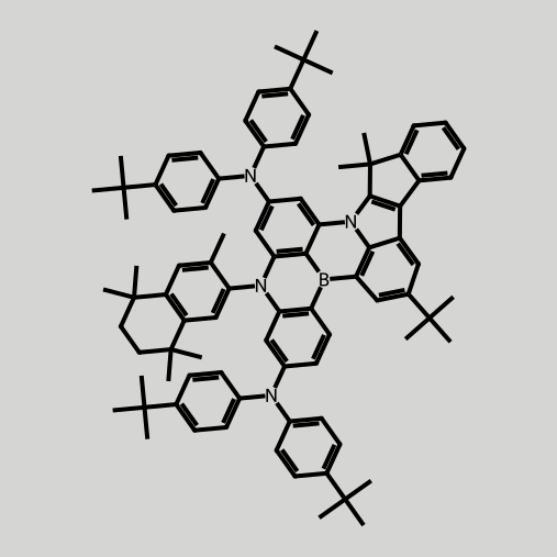 Cc1cc2c(cc1N1c3cc(N(c4ccc(C(C)(C)C)cc4)c4ccc(C(C)(C)C)cc4)ccc3B3c4c1cc(N(c1ccc(C(C)(C)C)cc1)c1ccc(C(C)(C)C)cc1)cc4-n1c4c(c5cc(C(C)(C)C)cc3c51)-c1ccccc1C4(C)C)C(C)(C)CCC2(C)C